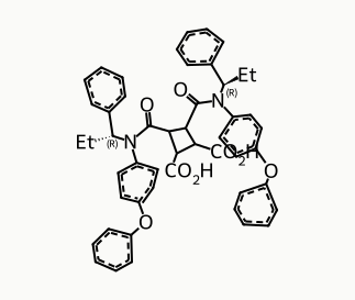 CC[C@H](c1ccccc1)N(C(=O)C1C(C(=O)O)C(C(=O)O)C1C(=O)N(c1ccc(Oc2ccccc2)cc1)[C@H](CC)c1ccccc1)c1ccc(Oc2ccccc2)cc1